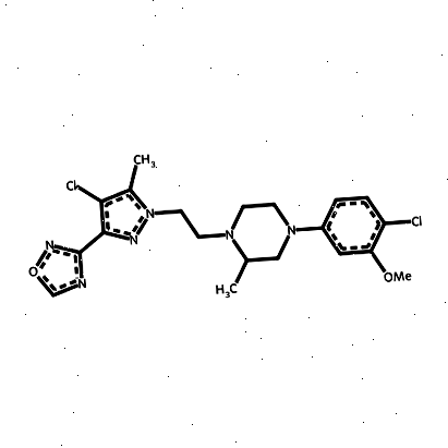 COc1cc(N2CCN(CCn3nc(-c4ncon4)c(Cl)c3C)C(C)C2)ccc1Cl